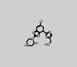 C[C@H]1CNCCN1c1nc2c(o1)C(c1ncc(CO)s1)CC(Cl)=C2